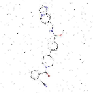 N#Cc1ccccc1C(=O)N1CCC(c2ccc(C(=O)NCc3ccn4ccnc4c3)cc2)CC1